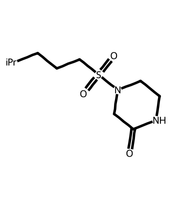 CC(C)CCCS(=O)(=O)N1CCNC(=O)C1